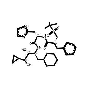 CC(C)(C)S(=O)(=O)C[C@H](Cc1ccccc1)C(=O)N[C@@H](Cc1ncc[nH]1)C(=O)N[C@@H](CC1CCCCC1)[C@@H](O)[C@@H](O)C1CC1